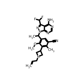 C=CCN1CC(c2c(C)c(C#N)cc(C(C)n3nc(C(F)F)c4c(N)ncnc43)c2OC)C1